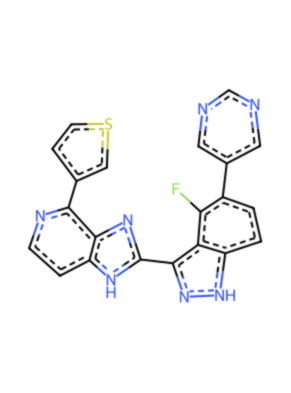 Fc1c(-c2cncnc2)ccc2[nH]nc(-c3nc4c(-c5ccsc5)nccc4[nH]3)c12